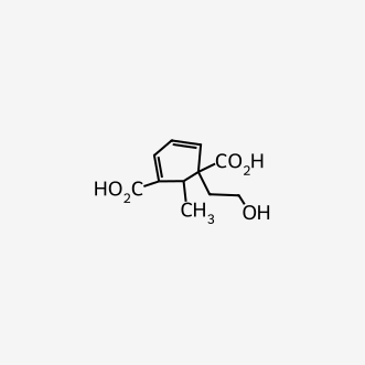 CC1C(C(=O)O)=CC=CC1(CCO)C(=O)O